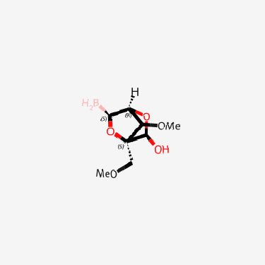 B[C@@H]1O[C@]2(COC)C(O)O[C@H]1C2OC